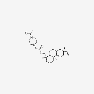 C=C[C@]1(C)CC=C2C(CCC3[C@@](C)(COC(=O)CN4CCN(C(C)=O)CC4)CCC[C@]23C)C1